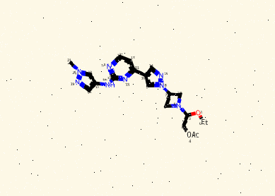 CCOC(COC(C)=O)N1CC(n2cc(-c3ccnc(Nc4cnn(C)c4)n3)cn2)C1